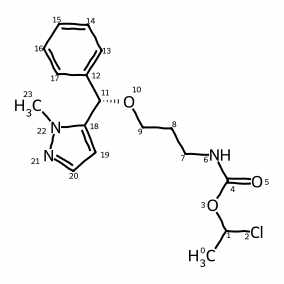 CC(Cl)OC(=O)NCCCO[C@@H](c1ccccc1)c1ccnn1C